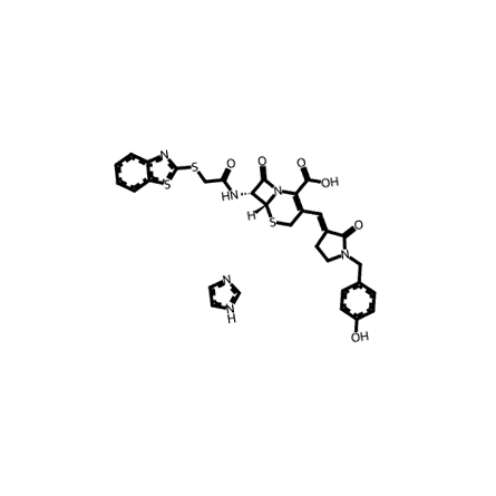 O=C(CSc1nc2ccccc2s1)N[C@@H]1C(=O)N2C(C(=O)O)=C(/C=C3\CCN(Cc4ccc(O)cc4)C3=O)CS[C@H]12.c1c[nH]cn1